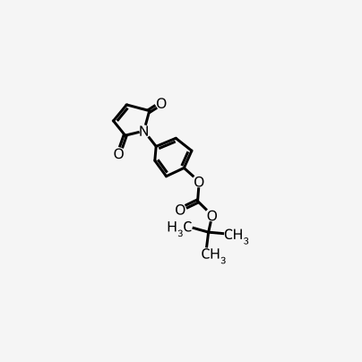 CC(C)(C)OC(=O)Oc1ccc(N2C(=O)C=CC2=O)cc1